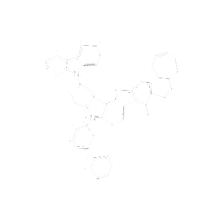 Cc1c(/C=C\C2C=CC=CCC2)ccc2oc3c(ccc4c3c3cc(-n5c6c(c7ccccc75)=CCCC=6)ccc3n4-c3cccc(-c4ccccc4)c3)c12